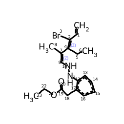 C=C/C(Br)=C(CC)/C(C)=C\NNc1ccccc1CC(=O)OCC